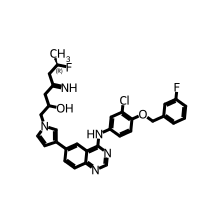 C[C@@H](F)CC(=N)CC(O)Cn1ccc(-c2ccc3ncnc(Nc4ccc(OCc5cccc(F)c5)c(Cl)c4)c3c2)c1